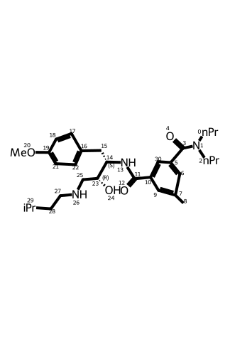 CCCN(CCC)C(=O)c1cc(C)cc(C(=O)N[C@@H](Cc2ccc(OC)cc2)[C@H](O)CNCCC(C)C)c1